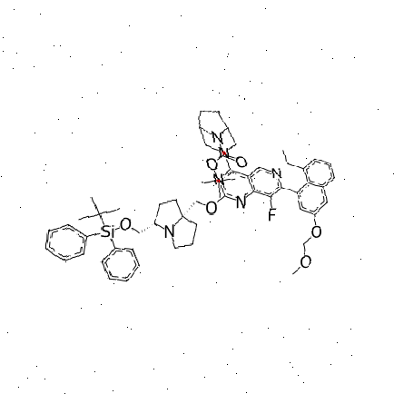 CCc1cccc2cc(OCOC)cc(-c3ncc4c(N5CC6CCC(C5)N6C(=O)OC(C)(C)C)nc(OC[C@]56CCCN5[C@H](CO[Si](c5ccccc5)(c5ccccc5)C(C)(C)C)CC6)nc4c3F)c12